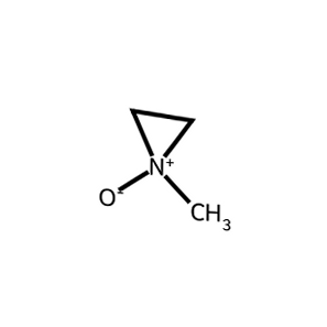 C[N+]1([O-])CC1